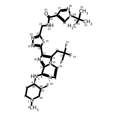 CN1CC[C@@H](Nc2nccn3c(CC(F)(F)F)c(-c4nnc(CNC(=O)c5cnn(C(C)(C)C)c5)s4)nc23)[C@@H](F)C1